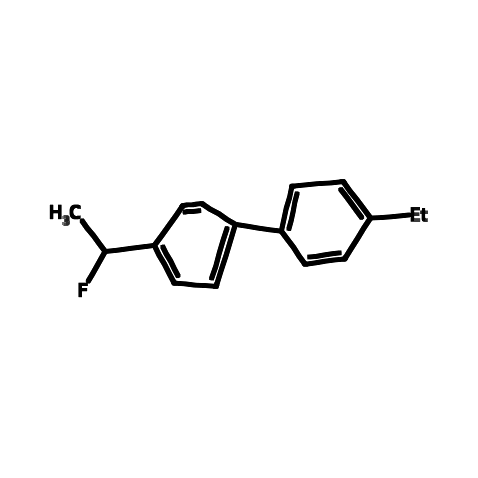 CCc1ccc(-c2ccc(C(C)F)cc2)cc1